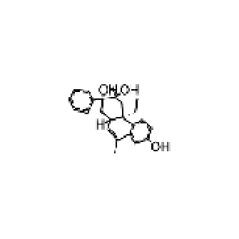 CC[C@@]12C[C@@](C)(O)[C@](O)(c3ccccc3)C[C@H]1C=C(C)c1cc(O)ccc12